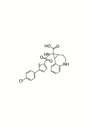 O=C(O)C1(NS(=O)(=O)c2ccc(-c3ccc(Cl)cc3)s2)C2CCNc3ccccc3C21